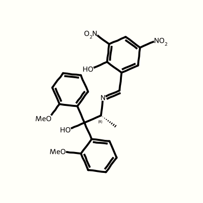 COc1ccccc1C(O)(c1ccccc1OC)[C@@H](C)N=Cc1cc([N+](=O)[O-])cc([N+](=O)[O-])c1O